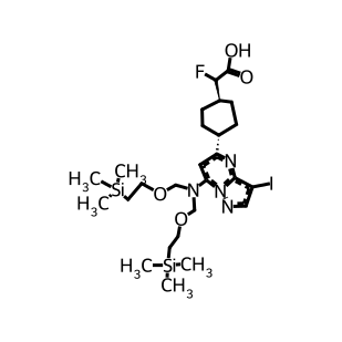 C[Si](C)(C)CCOCN(COCC[Si](C)(C)C)c1cc([C@H]2CC[C@H](C(F)C(=O)O)CC2)nc2c(I)cnn12